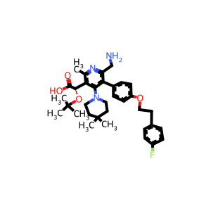 Cc1nc(CN)c(-c2ccc(OCCc3ccc(F)cc3)cc2)c(N2CCC(C)(C)CC2)c1[C@H](OC(C)(C)C)C(=O)O